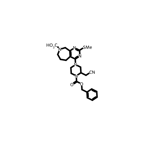 CSc1nc2c(c(N3CCN(C(=O)OCc4ccccc4)C(CC#N)C3)n1)CCCN(C(=O)O)C2